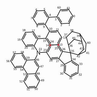 c1ccc(-c2ccccc2-c2ccccc2-c2ccccc2N(c2ccc3c(c2)-c2ccccc2C32C3CCC4CCC2CC4C3)c2cc3ccccc3c3ccccc23)cc1